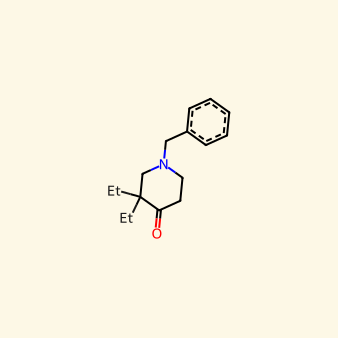 [CH2]CC1(CC)CN(Cc2ccccc2)CCC1=O